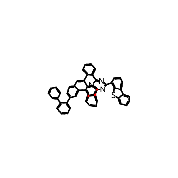 c1ccc(-c2nc(-c3ccccc3-c3cc4ccc(-c5ccccc5-c5ccccc5)cc4c4ccccc34)nc(-c3cccc4c3sc3ccccc34)n2)cc1